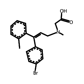 Cc1ccccc1C(=CCN(C)CC(=O)O)c1ccc(Br)cc1